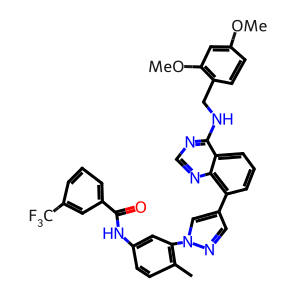 COc1ccc(CNc2ncnc3c(-c4cnn(-c5cc(NC(=O)c6cccc(C(F)(F)F)c6)ccc5C)c4)cccc23)c(OC)c1